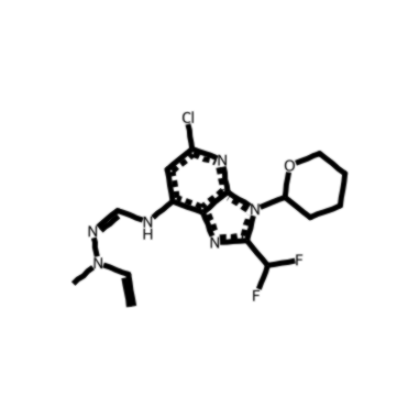 C=CN(C)/N=C\Nc1cc(Cl)nc2c1nc(C(F)F)n2C1CCCCO1